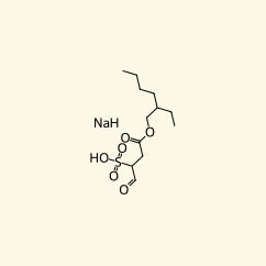 CCCCC(CC)COC(=O)CC(C=O)S(=O)(=O)O.[NaH]